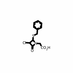 O=C(O)CN1C(=O)C(Cl)C1SCc1ccccc1